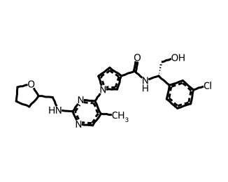 Cc1cnc(NCC2CCCO2)nc1-n1ccc(C(=O)N[C@H](CO)c2cccc(Cl)c2)c1